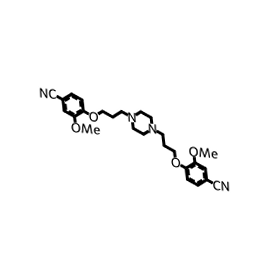 COc1cc(C#N)ccc1OCCCN1CCN(CCCOc2ccc(C#N)cc2OC)CC1